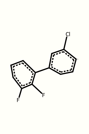 Fc1cccc(-c2cc[c]c(Cl)c2)c1F